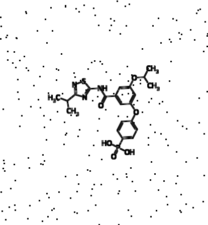 CC(C)Oc1cc(Oc2ccc(P(=O)(O)O)cc2)cc(C(=O)Nc2nc(C(C)C)ns2)c1